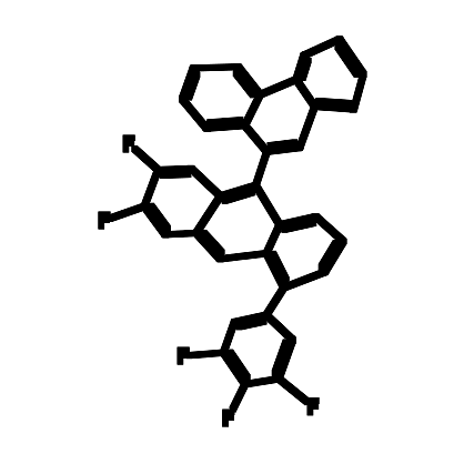 Fc1cc2cc3c(-c4cc(F)c(F)c(F)c4)cccc3c(-c3cc4ccccc4c4ccccc34)c2cc1F